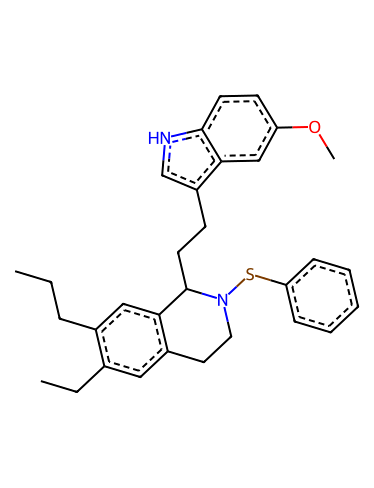 CCCc1cc2c(cc1CC)CCN(Sc1ccccc1)C2CCc1c[nH]c2ccc(OC)cc12